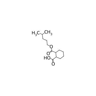 CC(C)CCCOC(=O)C1CCCCC1C(=O)O